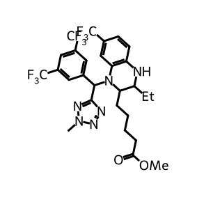 CCC1Nc2ccc(C(F)(F)F)cc2N(C(c2cc(C(F)(F)F)cc(C(F)(F)F)c2)c2nnn(C)n2)C1CCCCC(=O)OC